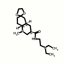 CCN(CC)CCNC(=O)[C@@H]1C[C@@H]2CC3(CC[C@H]2N(C)C1)OCCO3